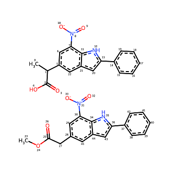 CC(C(=O)O)c1cc([N+](=O)[O-])c2[nH]c(-c3ccccc3)cc2c1.COC(=O)Cc1cc([N+](=O)[O-])c2[nH]c(-c3ccccc3)cc2c1